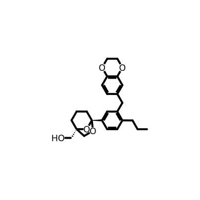 CCCc1ccc([C@@]23CCC[C@](CO)(CO2)O3)cc1Cc1ccc2c(c1)OCCO2